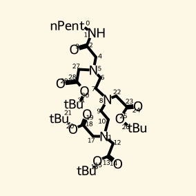 CCCCCNC(=O)CN(CCN(CCN(CC(=O)OC(C)(C)C)CC(=O)OC(C)(C)C)CC(=O)OC(C)(C)C)CC(=O)OC(C)(C)C